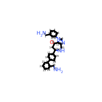 NCc1cccc(-n2cnc3c2C(=O)CC(c2ccc(-c4ccccc4CN)cc2)NC3)c1